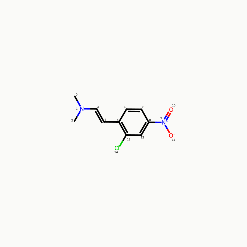 CN(C)C=Cc1ccc([N+](=O)[O-])cc1Cl